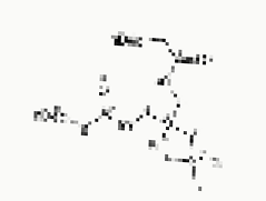 CCCCCCCCCCCC(=O)OCC(CC)(COC(=O)CCCCCCCCCCC)C[N+](C)(C)C